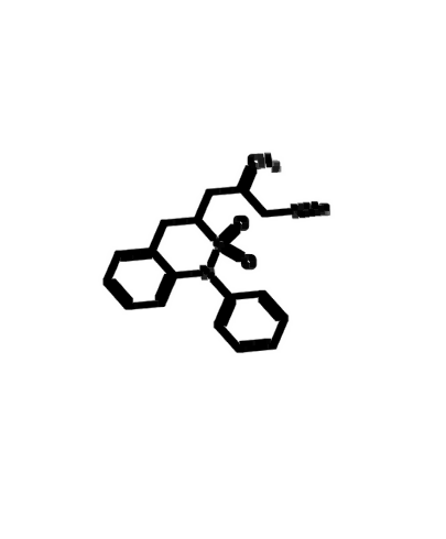 C=C(CNC)CC1Cc2ccccc2N(c2ccccc2)S1(=O)=O